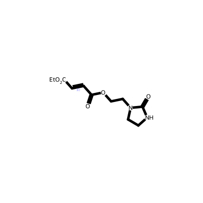 CCOC(=O)/C=C/C(=O)OCCN1CCNC1=O